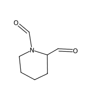 O=CC1CCCCN1C=O